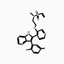 C=CS(=O)(=O)N(C)CCOc1cnccc1-c1[nH]c2cccnc2c1-c1cc(F)ccc1F